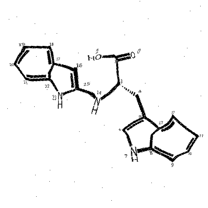 O=C(O)[C@H](Cc1c[nH]c2ccccc12)Nc1cc2ccccc2[nH]1